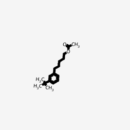 CC(=O)OCCCCCc1cccc(C(C)(C)C)c1